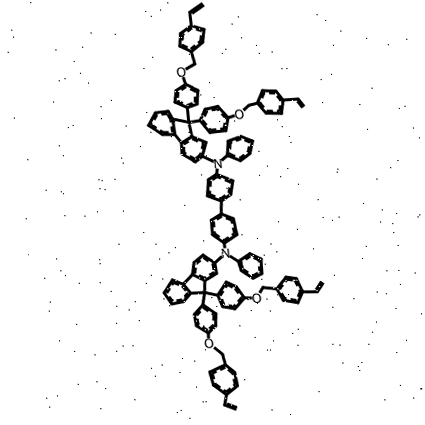 C=Cc1ccc(COc2ccc(C3(c4ccc(OCc5ccc(C=C)cc5)cc4)c4ccccc4-c4ccc(N(c5ccccc5)c5ccc(-c6ccc(N(c7ccccc7)c7ccc8c(c7)C(c7ccc(OCc9ccc(C=C)cc9)cc7)(c7ccc(OCc9ccc(C=C)cc9)cc7)c7ccccc7-8)cc6)cc5)cc43)cc2)cc1